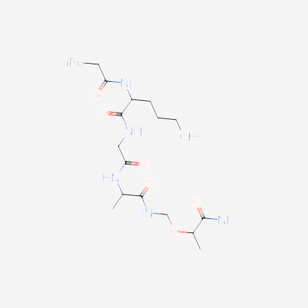 CCC(C)CC(=O)NC(CCCC=O)C(=O)NCC(=O)NC(C)C(=O)NCOC(C)C(N)=O